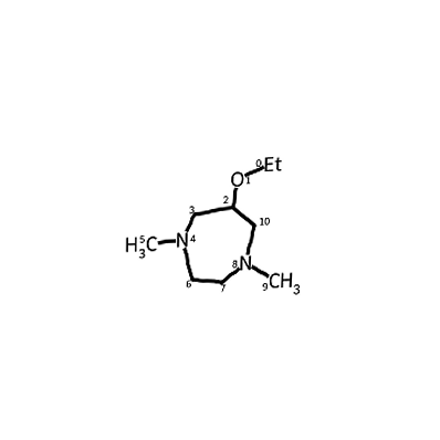 CCOC1CN(C)CCN(C)C1